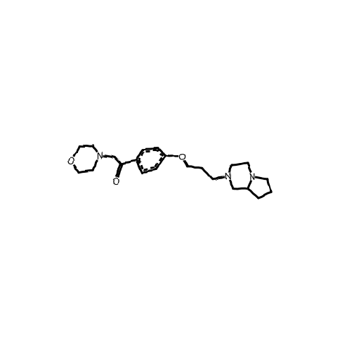 O=C(CN1CCOCC1)c1ccc(OCCCN2CCN3CCCC3C2)cc1